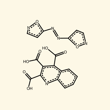 O=C(O)c1nc2ccccc2c(C(=O)O)c1C(=O)O.c1cc(N=Nc2ccno2)on1